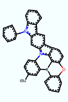 CC(C)(C)c1ccc2c(c1)B1c3ccccc3Oc3ccc4c5cc6c7ccccc7n(-c7ccccc7)c6cc5n-2c4c31